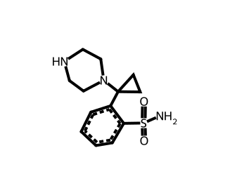 NS(=O)(=O)c1ccccc1C1(N2CCNCC2)CC1